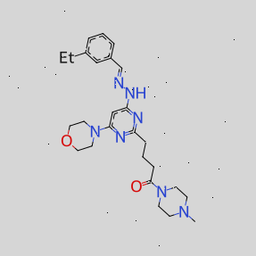 CCc1cccc(C=NNc2cc(N3CCOCC3)nc(CCCC(=O)N3CCN(C)CC3)n2)c1